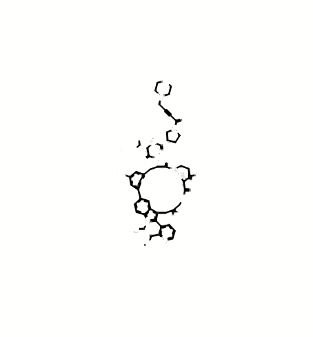 CCn1c(-c2cccnc2[C@H](C)OC)c2c3cc(ccc31)-c1cc(O)cc(c1)C[C@H](NC(=O)[C@H](C(C)C)N(C)C(=O)[C@H]1CCN(C(=O)C#CCN3CCOCC3)C1)C(=O)N1CCC(F)(F)[C@H](N1)C(=O)OCC(C)(C)C2